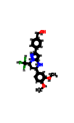 COc1ccc(C2CC(C(F)(F)F)n3nc(-c4ccc(CO)cc4)cc3N2)cc1OC